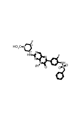 CC(C)n1c(=O)c(-c2ccc(NS(=O)(=O)Cc3ccccc3)c(F)c2)nc2cnc(N[C@H]3C[C@H](F)CN(C(=O)O)C3)nc21